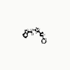 O=C(Nc1nnc(-c2cnn(C3CCCCO3)c2)s1)c1onc2ccccc12